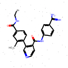 CC(C)CNC(=O)c1ccc(-c2cnccc2C(=O)Nc2ccc(C(=N)N)cc2)c(C(=O)O)c1